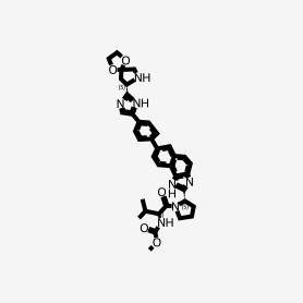 COC(=O)N[C@H](C(=O)N1CCC[C@H]1c1nc2ccc3cc(-c4ccc(-c5cnc([C@@H]6CC7(CN6)OCCO7)[nH]5)cc4)ccc3c2[nH]1)C(C)C